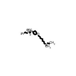 C=CCN(C)CCCCCCCOC1CCC(N(C)C(=S)NCCC(C)C)CC1